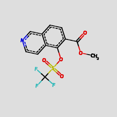 COC(=O)c1ccc2cnccc2c1OS(=O)(=O)C(F)(F)F